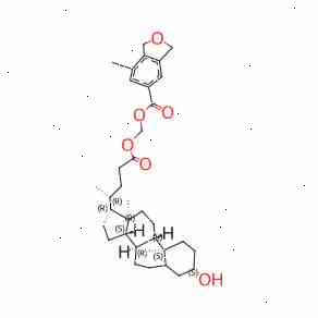 Cc1cc(C(=O)OCOC(=O)CC[C@@H](C)[C@H]2CC[C@H]3[C@@H]4CCC5C[C@@H](O)CC[C@]5(C)[C@H]4CC[C@]23C)cc2c1COC2